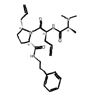 C=CC[C@H]1CC[C@@H](C(=O)NCCc2ccccc2)N1C(=O)[C@H](CC=C)NC(=O)[C@H](C)N(C)C